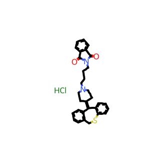 Cl.O=C1c2ccccc2C(=O)N1CCCCN1CCC(=C2c3ccccc3CSc3ccccc32)CC1